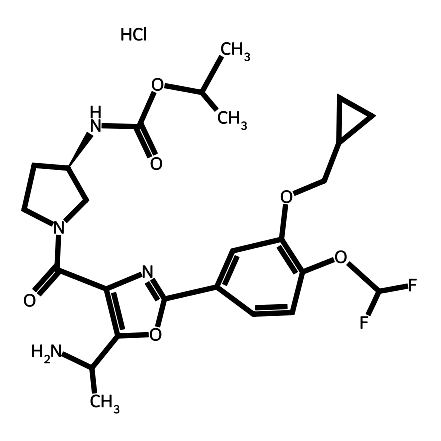 CC(C)OC(=O)N[C@@H]1CCN(C(=O)c2nc(-c3ccc(OC(F)F)c(OCC4CC4)c3)oc2C(C)N)C1.Cl